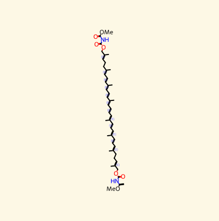 C=C(NC(=O)OC/C(C)=C/CC/C(C)=C/C=C/C(C)=C/C=C/C(C)=C/C=C/C=C(C)/C=C/C=C(C)/C=C/C=C(\C)CC/C=C(\C)COC(=O)NC(=O)OC)OC